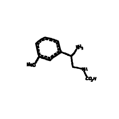 COc1cccc(C(N)CNC(=O)O)c1